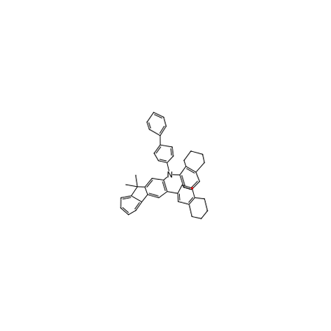 CC1(C)c2ccccc2-c2cc(-c3ccc4c(c3)CCCC4)c(N(c3ccc(-c4ccccc4)cc3)c3cccc4c3CCCC4)cc21